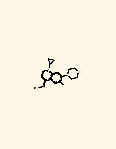 N/N=c1\ccn(C2CC2)c2cc(N3CCNCC3)c(F)cc12